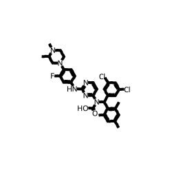 Cc1cc(C)c(C(c2cc(Cl)cc(Cl)c2)N(C(=O)O)c2ccnc(Nc3ccc(N4CCN(C)C(C)C4)c(F)c3)n2)c(C)c1